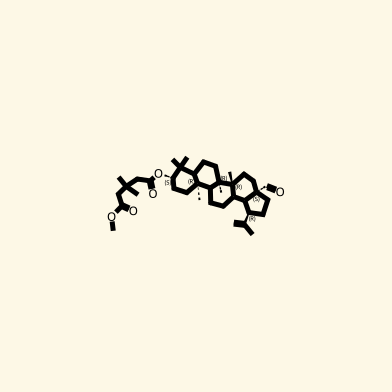 C=C(C)[C@@H]1CC[C@]2(C=O)CC[C@]3(C)C(CCC4[C@@]5(C)CC[C@H](OC(=O)CC(C)(C)CC(=O)OC)C(C)(C)C5CC[C@]43C)C12